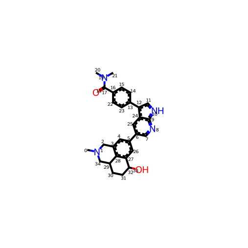 CN1Cc2cc(-c3cnc4[nH]cc(-c5ccc(C(=O)N(C)C)cc5)c4c3)cc3c2C(CCC3O)C1